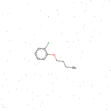 CCC(C)CCCOc1ccccc1F